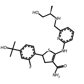 C[C@H](CO)NCc1cccc(NC2=C(C(N)=O)CC(c3ccc(C(C)(C)O)cc3F)S2)n1